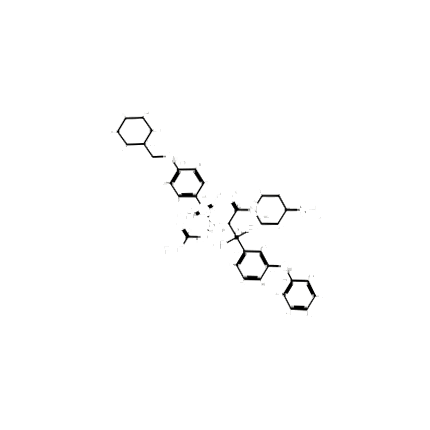 NC1CCN(C(=O)[C@@H](N(OC(=O)C(F)(F)F)S(=O)(=O)c2ccc(OCC3CCCCC3)cc2)C(F)(F)c2cccc(Oc3ccccc3)c2)CC1